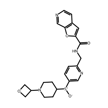 O=C(NCc1ccc([S+]([O-])C2CCN(C3COC3)CC2)cn1)c1cc2ccncc2o1